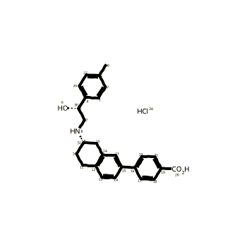 Cc1ccc([C@@H](O)CN[C@H]2CCc3ccc(-c4ccc(C(=O)O)cc4)cc3C2)cc1.Cl